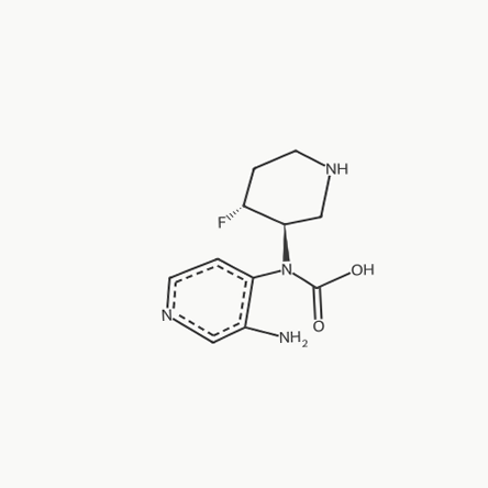 Nc1cnccc1N(C(=O)O)[C@@H]1CNCC[C@H]1F